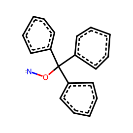 [N]OC(c1ccccc1)(c1ccccc1)c1ccccc1